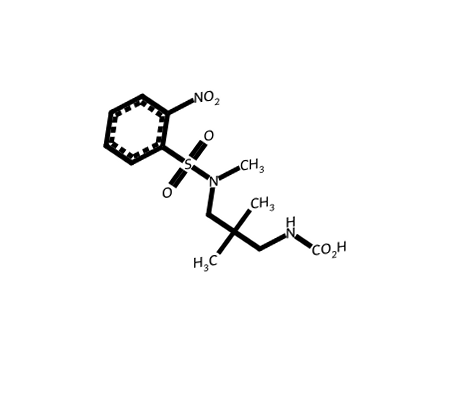 CN(CC(C)(C)CNC(=O)O)S(=O)(=O)c1ccccc1[N+](=O)[O-]